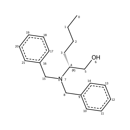 CCCC[C@H](CO)N(Cc1ccccc1)Cc1ccccc1